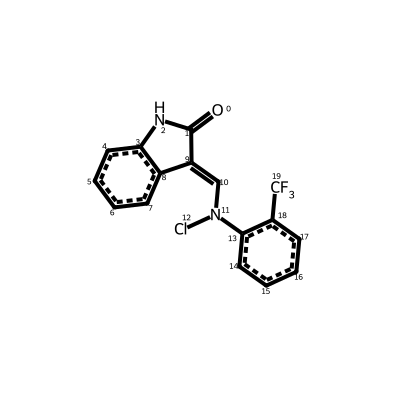 O=C1Nc2ccccc2C1=CN(Cl)c1ccccc1C(F)(F)F